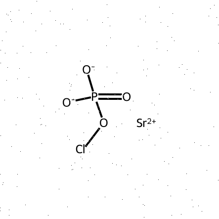 O=P([O-])([O-])OCl.[Sr+2]